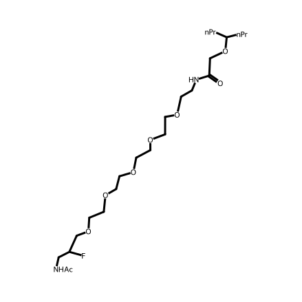 CCCC(CCC)OCC(=O)NCCOCCOCCOCCOCCOCC(F)CNC(C)=O